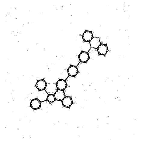 c1ccc(-c2oc3c4ccccc4c4cc(-c5ccc(-c6ccc(N7c8ccccc8Sc8ccccc87)cc6)cc5)ccc4c3c2-c2ccccc2)cc1